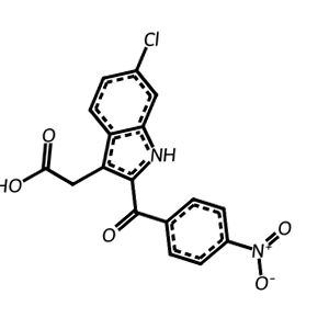 O=C(O)Cc1c(C(=O)c2ccc([N+](=O)[O-])cc2)[nH]c2cc(Cl)ccc12